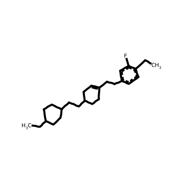 CCc1ccc(CCC2=CCC(CCC3CCC(CC)CC3)CC2)cc1F